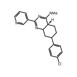 CNC1=NC(c2cccnc2)=NC2CC(c3ccc(Cl)cc3)CC[C@@H]12